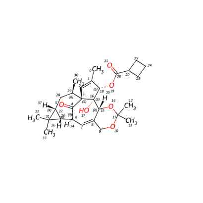 CC1=C[C@]23C(=O)[C@@H](C=C4COC(C)(C)O[C@H]4[C@]2(O)[C@H]1OC(=O)C1CCC1)[C@H]1[C@@H](C[C@H]3C)C1(C)C